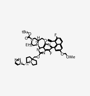 C#Cc1c(F)ccc2cc(OCOC)cc(-c3nc4c5c(nc(OC[C@@]67CCCN6[C@H](Cn6ccnn6)CC7)nc5c3F)N3C[C@@H](CC)N(C(=O)OC(C)(C)C)C[C@H]3CO4)c12